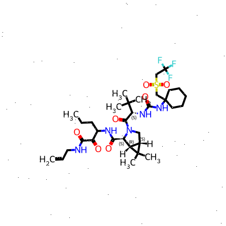 C=CCNC(=O)C(=O)C(CCC)NC(=O)[C@@H]1[C@@H]2[C@H](CN1C(=O)[C@@H](NC(=O)NC1(CS(=O)(=O)CC(F)(F)F)CCCCC1)C(C)(C)C)C2(C)C